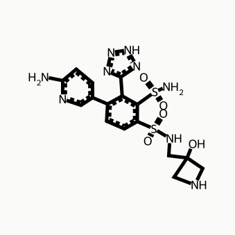 Nc1ccc(-c2ccc(S(=O)(=O)NCC3(O)CNC3)c(S(N)(=O)=O)c2-c2nn[nH]n2)cn1